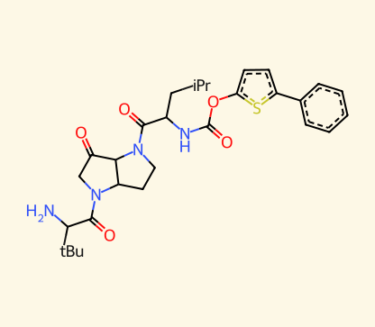 CC(C)CC(NC(=O)Oc1ccc(-c2ccccc2)s1)C(=O)N1CCC2C1C(=O)CN2C(=O)C(N)C(C)(C)C